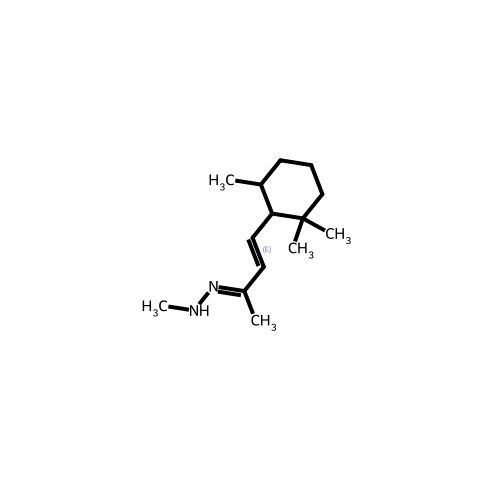 CNN=C(C)/C=C/C1C(C)CCCC1(C)C